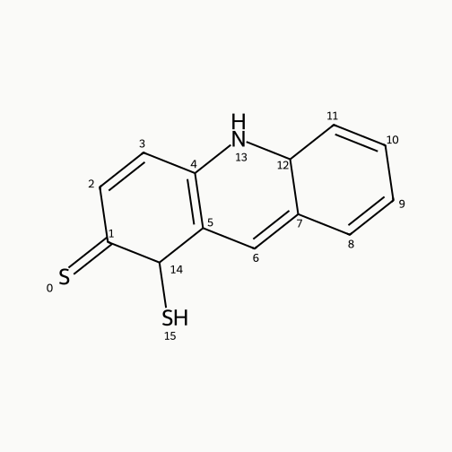 S=C1C=CC2=C(C=C3C=CC=CC3N2)C1S